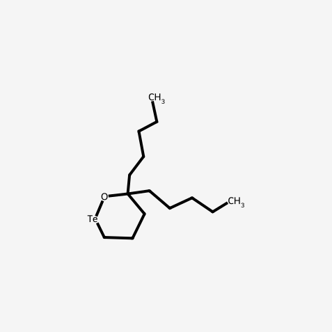 CCCCCC1(CCCCC)CCC[Te]O1